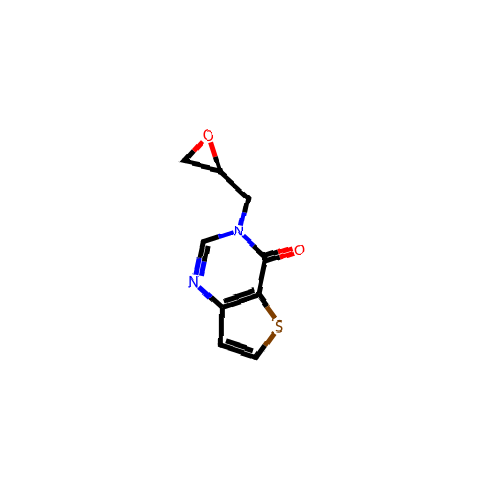 O=c1c2sccc2ncn1CC1CO1